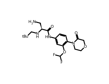 CC(C)(C)CN[C@@H](CN)C(=O)Nc1ccc(N2CCOCC2=O)c(OC(F)F)c1